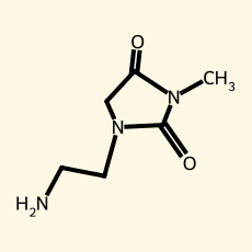 CN1C(=O)CN(CCN)C1=O